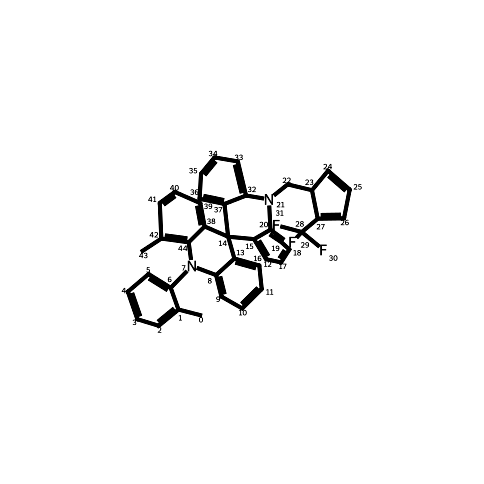 Cc1ccccc1N1c2ccccc2C2(c3ccccc3N(CC3C=CC=C3C(F)(F)F)c3ccccc32)c2cccc(C)c21